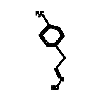 O/N=C/Cc1ccc(C(F)(F)F)cc1